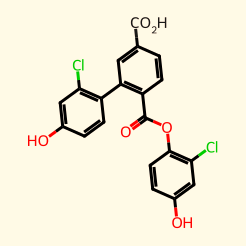 O=C(O)c1ccc(C(=O)Oc2ccc(O)cc2Cl)c(-c2ccc(O)cc2Cl)c1